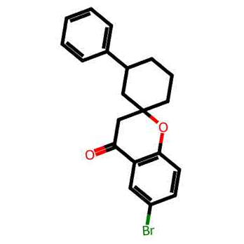 O=C1CC2(CCCC(c3ccccc3)C2)Oc2ccc(Br)cc21